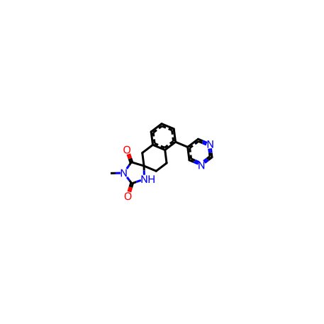 CN1C(=O)NC2(CCc3c(cccc3-c3cncnc3)C2)C1=O